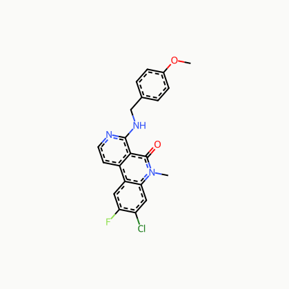 COc1ccc(CNc2nccc3c2c(=O)n(C)c2cc(Cl)c(F)cc32)cc1